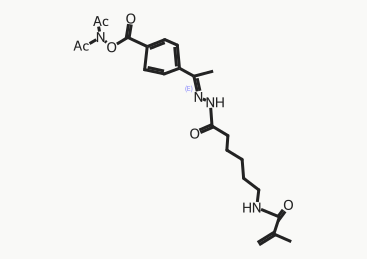 C=C(C)C(=O)NCCCCCC(=O)N/N=C(\C)c1ccc(C(=O)ON(C(C)=O)C(C)=O)cc1